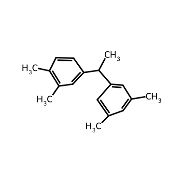 Cc1cc(C)cc(C(C)c2ccc(C)c(C)c2)c1